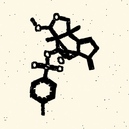 C=C1CC=C2C13C=C(OS(=O)(=O)c1ccc(C)cc1)C1(C)C2(C)COC1(OC)C3=O